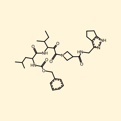 CCC(C)C(NC(=O)C(CC(C)C)NC(=O)OCc1ccccc1)C(=O)C(=O)N1CC(C(=O)NCc2n[nH]c3c2CCC3)C1